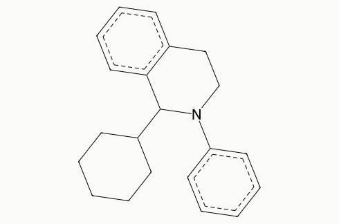 c1ccc(N2CCc3ccccc3C2C2CCCCC2)cc1